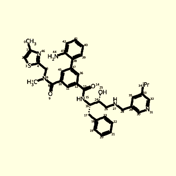 Cc1csc(CN(C)C(=O)c2cc(C(=O)N[C@@H](Cc3ccccc3)[C@H](O)CNCc3cncc(C(C)C)c3)cc(-c3ccccc3N)c2)n1